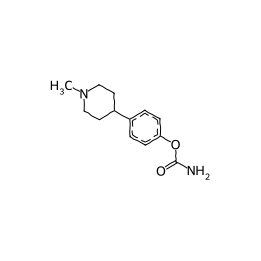 CN1CCC(c2ccc(OC(N)=O)cc2)CC1